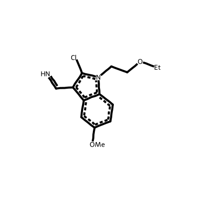 CCOCCn1c(Cl)c(C=N)c2cc(OC)ccc21